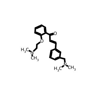 CN(C)CCOc1ccccc1C(=O)C=Cc1cccc(CN(C)C)c1